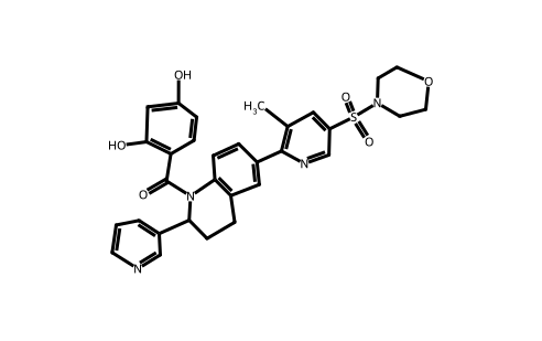 Cc1cc(S(=O)(=O)N2CCOCC2)cnc1-c1ccc2c(c1)CCC(c1cccnc1)N2C(=O)c1ccc(O)cc1O